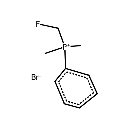 C[P+](C)(CF)c1ccccc1.[Br-]